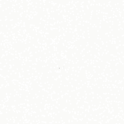 C=CC(=O)Nc1cccc(C)c1CCC